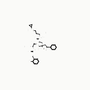 CCC[C@H](NC(=O)[C@@H]1C[C@]2(CC(c3cccc(Cl)c3)=NO2)CN1C(=O)[C@@H](NC(=O)OCc1c(F)cccc1F)C(C)(C)C)C(=O)C(=O)NC1CC1